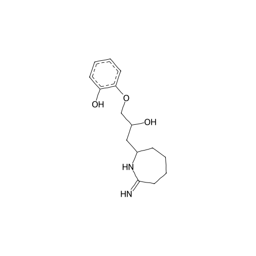 N=C1CCCCC(CC(O)COc2ccccc2O)N1